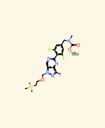 CN(Cc1cc(F)c(-c2ncc3c(n2)c(I)nn3COCCS(C)(C)C)c(F)c1)C(=O)OC(C)(C)C